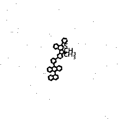 CC1(C)C2=CCC(c3cccc(-c4c5ccccc5c(-c5cccc6ccccc56)c5ccccc45)c3)C=C2c2c1c1sc3ccccc3c1c1ccccc21